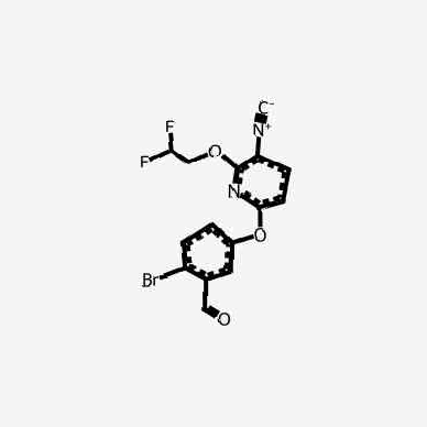 [C-]#[N+]c1ccc(Oc2ccc(Br)c(C=O)c2)nc1OCC(F)F